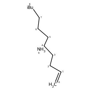 C=CCCCCCCC(C)CC.N